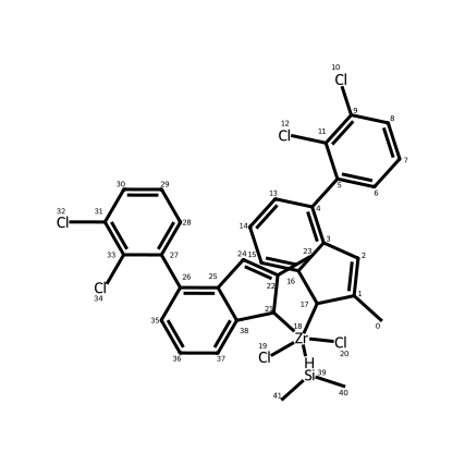 CC1=Cc2c(-c3cccc(Cl)c3Cl)cccc2[CH]1[Zr]([Cl])([Cl])([CH]1C(C)=Cc2c(-c3cccc(Cl)c3Cl)cccc21)[SiH](C)C